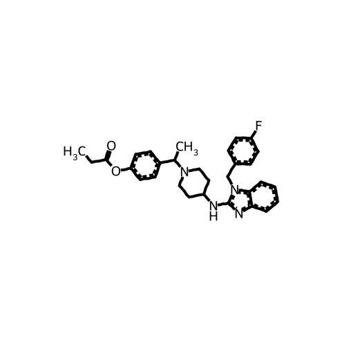 CCC(=O)Oc1ccc(C(C)N2CCC(Nc3nc4ccccc4n3Cc3ccc(F)cc3)CC2)cc1